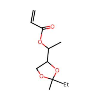 C=CC(=O)OC(C)C1COC(C)(CC)O1